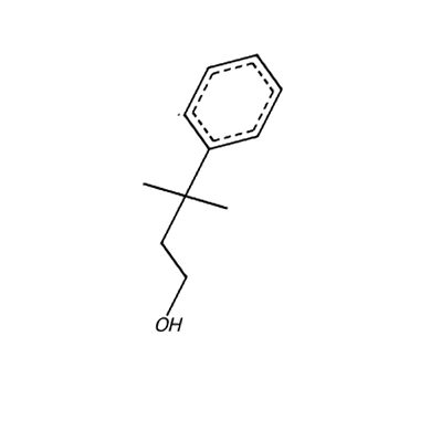 CC(C)(CCO)c1[c]cccc1